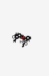 CCCC(=O)NNC(=O)[C@]1(CCC(C)(C)[C@]2(C)CC[C@H]3C(C)(C)C(=O)C(C#N)=C[C@]3(C)/C2=C/C(C)=O)CCC(C)(C)CC1C